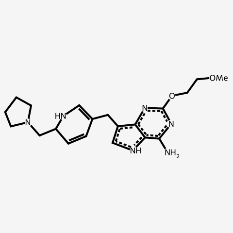 COCCOc1nc(N)c2[nH]cc(CC3=CNC(CN4CCCC4)C=C3)c2n1